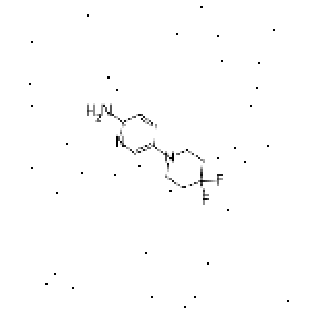 Nc1ccc(N2CCC(F)(F)CC2)cn1